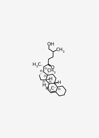 CC(CO)CCC(=O)[C@@H](C)[C@H]1CC[C@H]2[C@@H]3CC=C4CCCC[C@]4(C)[C@H]3CC[C@]12C